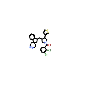 O=C(c1cccc(Cl)c1Cl)N1CC(CC2CC3(CCNCC3)c3ccccc32)C(c2ccsc2)C1